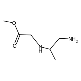 COC(=O)CNC(C)CN